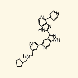 c1cc(-c2nccc3[nH]c(-c4n[nH]c5cnc(-c6cncc(CNCC7CCCC7)c6)cc45)nc23)ccn1